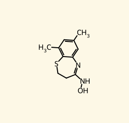 Cc1cc(C)c2c(c1)N=C(NO)CCS2